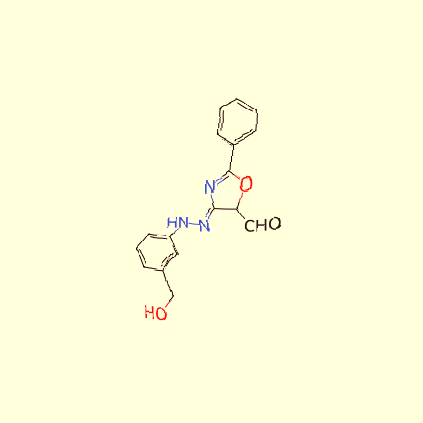 O=CC1OC(c2ccccc2)=NC1=NNc1cccc(CO)c1